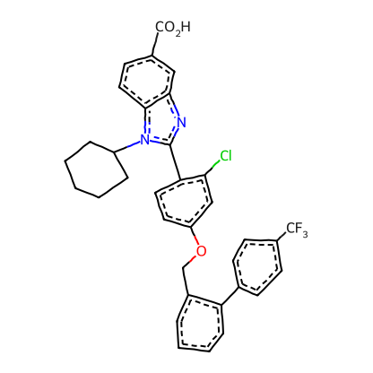 O=C(O)c1ccc2c(c1)nc(-c1ccc(OCc3ccccc3-c3ccc(C(F)(F)F)cc3)cc1Cl)n2C1CCCCC1